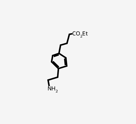 CCOC(=O)CCCc1ccc(CCN)cc1